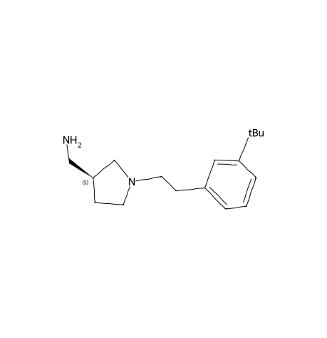 CC(C)(C)c1cccc(CCN2CC[C@@H](CN)C2)c1